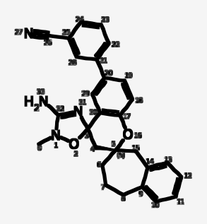 CN1OC2(C[C@@]3(CCCc4ccccc4C3)Oc3ccc(-c4cccc(C#N)c4)cc32)N=C1N